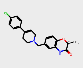 C[C@@H]1Oc2ccc(CN3CC=C(c4ccc(Cl)cc4)CC3)cc2NC1=O